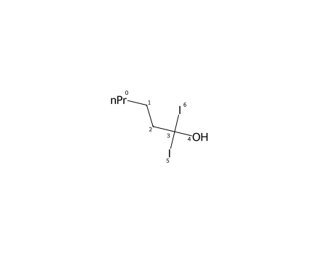 CCCCCC(O)(I)I